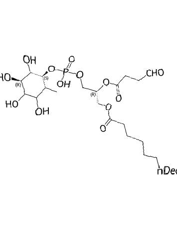 CCCCCCCCCCCCCCCC(=O)OC[C@H](COP(=O)(O)O[C@H]1C(C)C(O)C(O)[C@@H](O)C1O)OC(=O)CCC=O